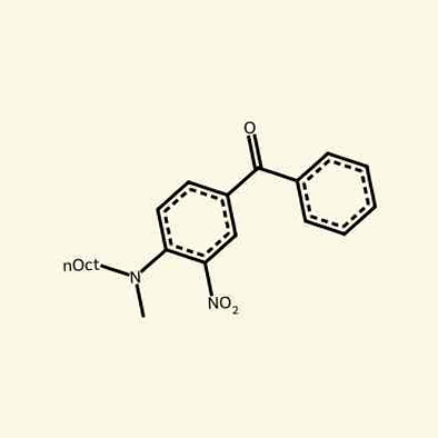 CCCCCCCCN(C)c1ccc(C(=O)c2ccccc2)cc1[N+](=O)[O-]